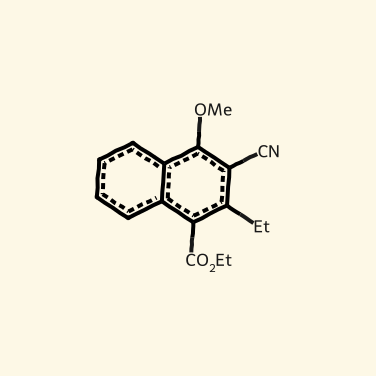 CCOC(=O)c1c(CC)c(C#N)c(OC)c2ccccc12